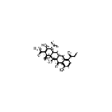 CCC(=O)c1ccc(O)c2c1CC1CC3[C@H](N(C)C)C(O)=C(C(N)=O)C(=O)[C@@]3(O)C(O)=C1C2=O